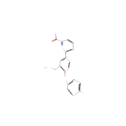 CCOCc1cc(-c2cccc(C(N)=O)n2)ccc1Oc1ccc(F)cc1